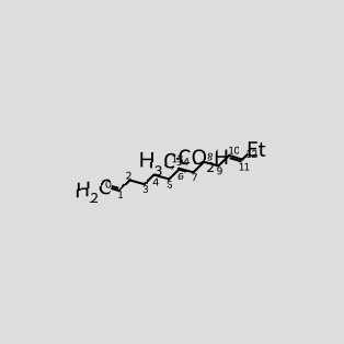 C=CCCCCCCCCC=CCC.CC(=O)O